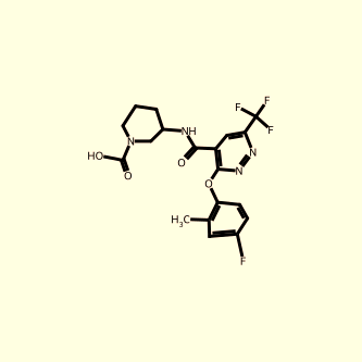 Cc1cc(F)ccc1Oc1nnc(C(F)(F)F)cc1C(=O)NC1CCCN(C(=O)O)C1